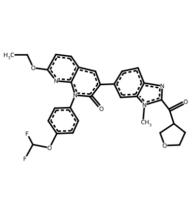 CCOc1ccc2cc(-c3ccc4nc(C(=O)C5CCOC5)n(C)c4c3)c(=O)n(-c3ccc(OC(F)F)cc3)c2n1